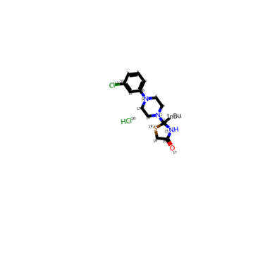 CCCCC1(N2CCN(c3cccc(Cl)c3)CC2)NC(=O)CS1.Cl